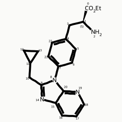 CCOC(=O)[C@@H](N)Cc1ccc(-n2c(CC3CC3)nc3cccnc32)cc1